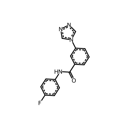 O=C(Nc1ccc(F)cc1)c1cccc(-n2cnnc2)c1